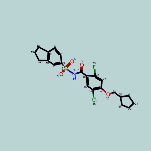 O=C(NS(=O)(=O)c1ccc2c(c1)CCC2)c1cc(Cl)c(OCC2CCCC2)cc1F